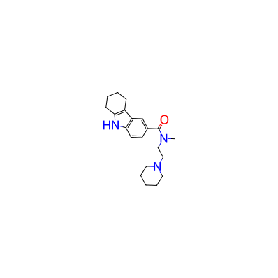 CN(CCN1CCCCC1)C(=O)c1ccc2[nH]c3c(c2c1)CCCC3